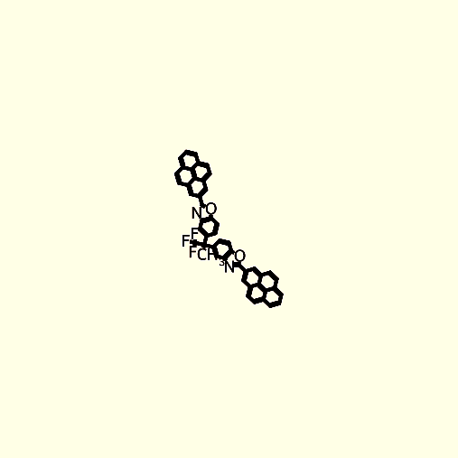 CC(c1ccc2oc(-c3cc4ccc5cccc6ccc(c3)c4c56)nc2c1)(c1ccc2oc(-c3cc4ccc5cccc6ccc(c3)c4c56)nc2c1)C(F)(F)F